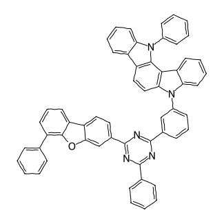 c1ccc(-c2nc(-c3cccc(-n4c5ccccc5c5c4ccc4c6ccccc6n(-c6ccccc6)c45)c3)nc(-c3ccc4c(c3)oc3c(-c5ccccc5)cccc34)n2)cc1